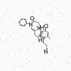 CC1=CC(=O)[C@H]2[C@@H](CCC3=CN(c4ccccc4)C(=O)CC[C@@]32C)[C@@H]1CCC#N